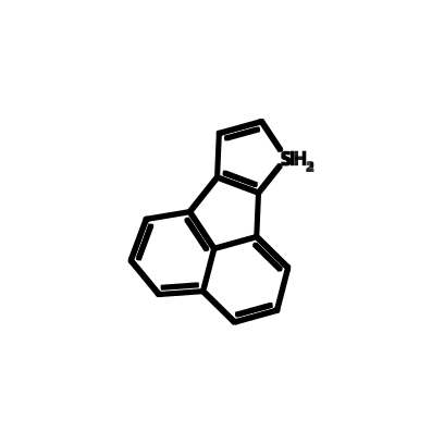 C1=CC2=C([SiH2]1)c1cccc3cccc2c13